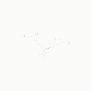 CC(C)CCCC[CH2][Sn+2][CH2]CCCCC(C)C.O=S(=O)([O-])[O-]